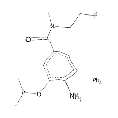 CN(CCF)C(=O)c1ccc(N)c(OP(C)C)c1.P